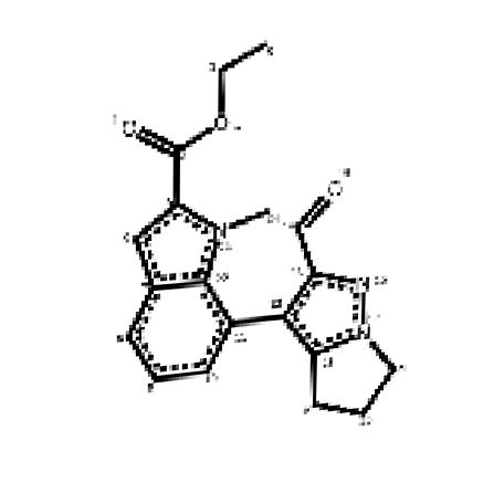 CCOC(=O)c1cc2cccc(-c3c(C=O)nn4c3CCC4)c2n1C